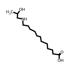 CC(O)CNCCCCCCCCCCCC(=O)O